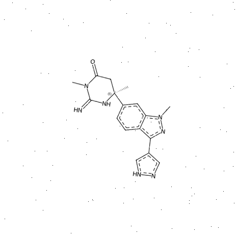 CN1C(=N)N[C@](C)(c2ccc3c(-c4cn[nH]c4)nn(C)c3c2)CC1=O